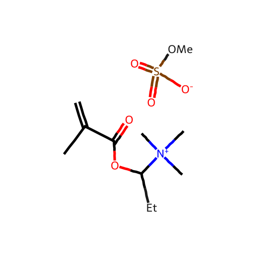 C=C(C)C(=O)OC(CC)[N+](C)(C)C.COS(=O)(=O)[O-]